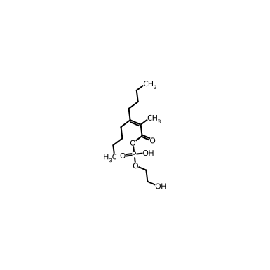 CCCCC(CCCC)=C(C)C(=O)OP(=O)(O)OCCO